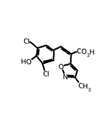 Cc1cc(C(=Cc2cc(Cl)c(O)c(Cl)c2)C(=O)O)on1